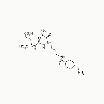 CC(C)(C)OC(=O)[C@H](CCCCNC(=O)[C@H]1CC[C@H](CN)CC1)NC(=O)N[C@@H](CCC(=O)O)C(=O)O